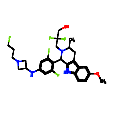 COc1ccc2[nH]c3c(c2c1)CC(C)N(CC(F)(F)CO)C3c1c(F)cc(NC2CN(CCCF)C2)cc1F